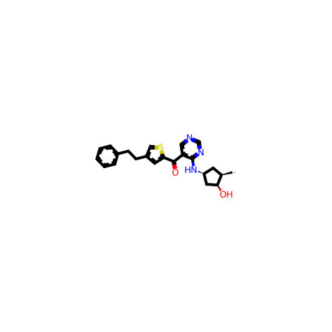 [CH2][C@@H]1C[C@@H](Nc2ncncc2C(=O)c2cc(CCc3ccccc3)cs2)C[C@@H]1O